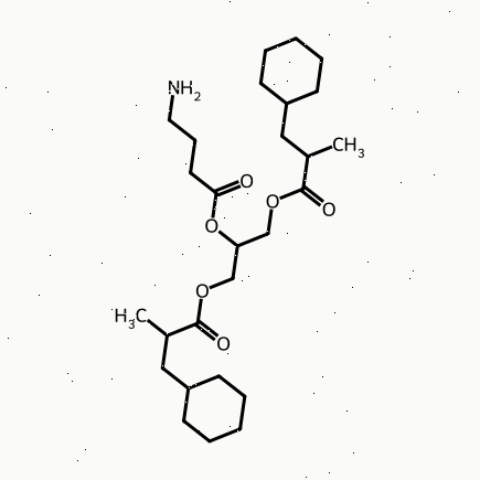 CC(CC1CCCCC1)C(=O)OCC(COC(=O)C(C)CC1CCCCC1)OC(=O)CCCN